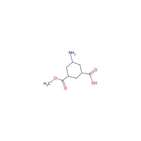 COC(=O)C1CC(N)CC(C(=O)O)C1